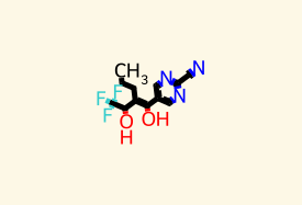 CCC/C(=C(/O)c1cnc(C#N)nc1)C(O)C(F)(F)F